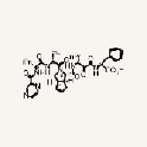 CCCC(NC(=O)[C@@H]1[C@H]2CC=C[C@H]2CN1C(=O)[C@@H](NC(=O)[C@H](NC(=O)c1cnccn1)C(C)C)C(C)C)C(=O)C(=O)N[C@@H](Cc1ccccc1)C(=O)O